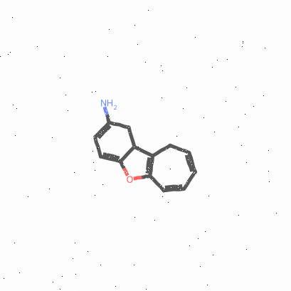 NC1=CC=C2OC3=C(CC=CC=C3)C2C1